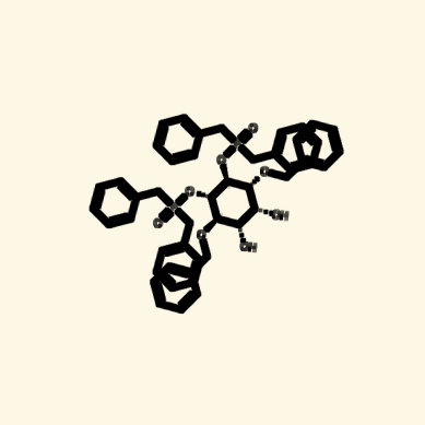 O=P(Cc1ccccc1)(Cc1ccccc1)O[C@@H]1[C@@H](OP(=O)(Cc2ccccc2)Cc2ccccc2)[C@H](OCc2ccccc2)[C@@H](O)[C@@H](O)[C@H]1OCc1ccccc1